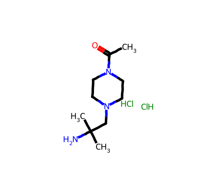 CC(=O)N1CCN(CC(C)(C)N)CC1.Cl.Cl